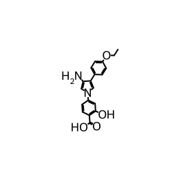 CCOc1ccc(-c2cn(-c3ccc(C(=O)O)c(O)c3)cc2N)cc1